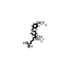 CC(N)(CCCCB(O)O)C1CCN(Cc2ccc(OC(F)(F)F)cc2)CC1